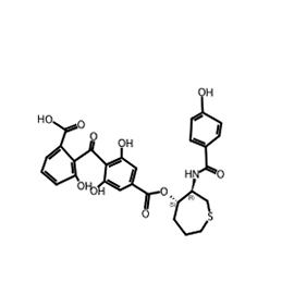 O=C(N[C@H]1CSCCC[C@@H]1OC(=O)c1cc(O)c(C(=O)c2c(O)cccc2C(=O)O)c(O)c1)c1ccc(O)cc1